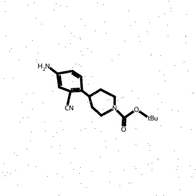 CC(C)(C)OC(=O)N1CCC(c2ccc(N)cc2C#N)CC1